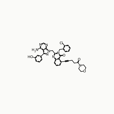 Nc1ncnc2c1c(-c1cccc(O)c1)nn2Cc1nc2cccc(C#CCCC(=O)N3CCOCC3)c2c(=O)n1Cc1ccccc1Cl